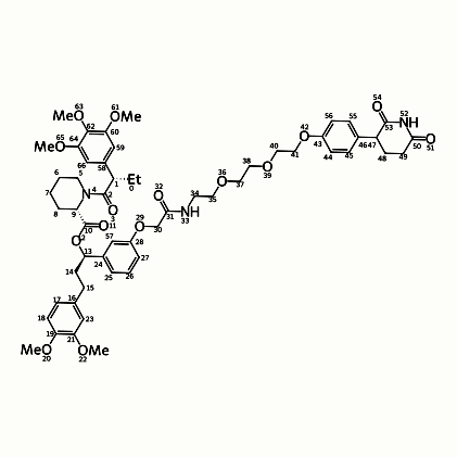 CC[C@H](C(=O)N1CCCC[C@H]1C(=O)O[C@H](CCc1ccc(OC)c(OC)c1)c1cccc(OCC(=O)NCCOCCOCCOc2ccc(C3CCC(=O)NC3=O)cc2)c1)c1cc(OC)c(OC)c(OC)c1